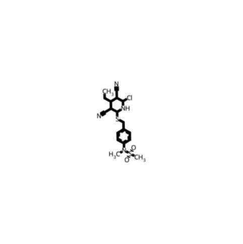 CCC1C(C#N)C(Cl)NC(SCc2ccc(N(C)S(C)(=O)=O)cc2)C1C#N